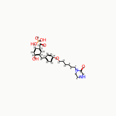 O=C1CNCCN1CCCCCCOc1ccc(Cc2cc(C(=O)P(=O)(O)O)ccc2O)cc1